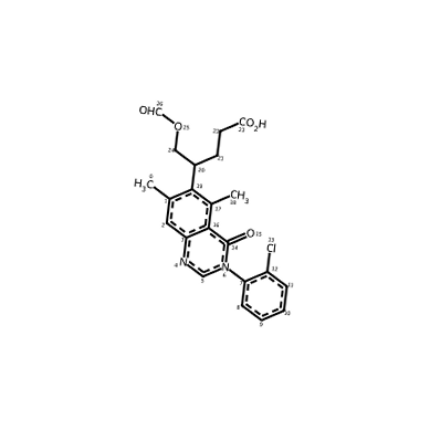 Cc1cc2ncn(-c3ccccc3Cl)c(=O)c2c(C)c1C(CCC(=O)O)COC=O